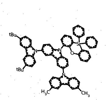 Cc1ccc2c(c1)c1cc(C)ccc1n2-c1ccc2c(c1)c1cc(-n3c4ccc(C(C)(C)C)cc4c4cc(C(C)(C)C)ccc43)ccc1n2-c1cccc2c1Oc1ccccc1[Si]2(c1ccccc1)c1ccccc1